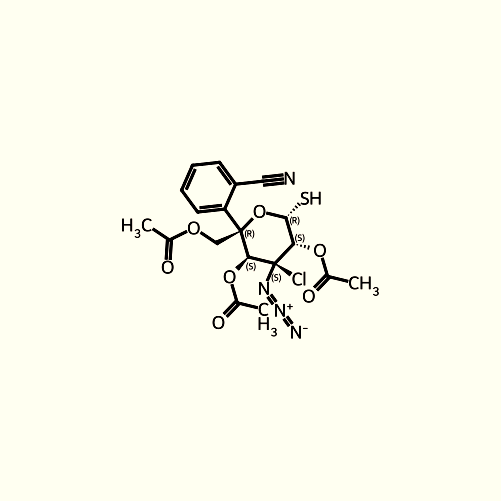 CC(=O)OC[C@@]1(c2ccccc2C#N)O[C@H](S)[C@H](OC(C)=O)[C@](Cl)(N=[N+]=[N-])[C@H]1OC(C)=O